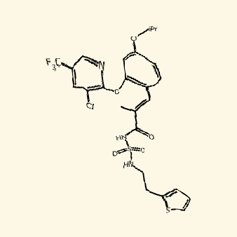 C/C(=C\c1ccc(OC(C)C)cc1Oc1ncc(C(F)(F)F)cc1Cl)C(=O)NS(=O)(=O)NCCc1cccs1